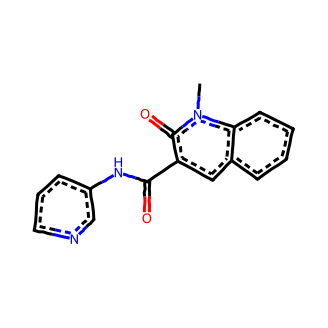 Cn1c(=O)c(C(=O)Nc2cccnc2)cc2ccccc21